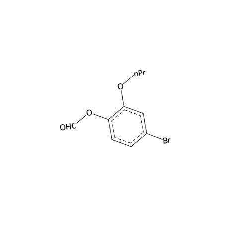 CCCOc1cc(Br)ccc1OC=O